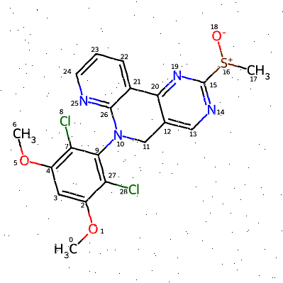 COc1cc(OC)c(Cl)c(N2Cc3cnc([S+](C)[O-])nc3-c3cccnc32)c1Cl